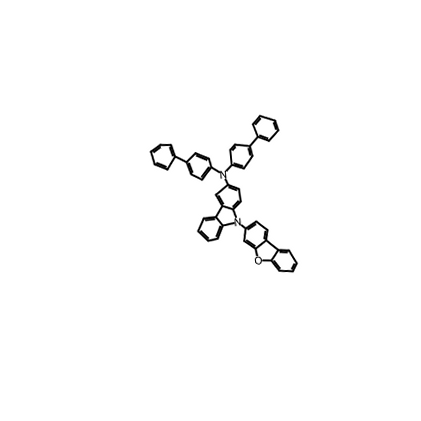 c1ccc(-c2ccc(N(c3ccc(-c4ccccc4)cc3)c3ccc4c(c3)c3ccccc3n4-c3ccc4c(c3)oc3ccccc34)cc2)cc1